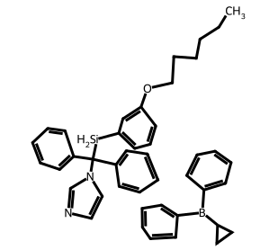 CCCCCCOc1cccc([SiH2]C(c2ccccc2)(c2ccccc2)n2ccnc2)c1.c1ccc(B(c2ccccc2)C2CC2)cc1